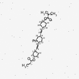 C=CC(=O)Oc1ccc(C#Cc2ccc(C#Cc3ccc(OC(=O)C(=C)C)cc3)cc2F)cc1